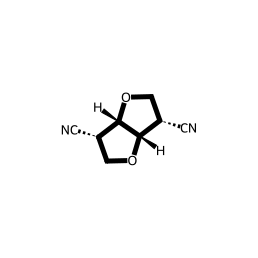 N#C[C@H]1CO[C@@H]2[C@H]1OC[C@@H]2C#N